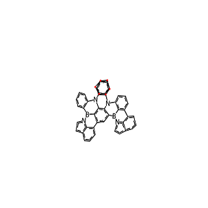 c1ccc(N2c3cccc4c3B(c3cc5c6c(c32)N(c2ccccc2)c2ccccc2B6n2ccc3cccc-5c32)n2ccc3cccc-4c32)cc1